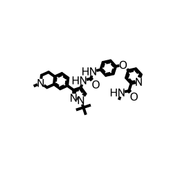 CNC(=O)c1cc(Oc2ccc(NC(=O)Nc3cn(C(C)(C)C)nc3-c3ccc4c(c3)CN(C)CC4)cc2)ccn1